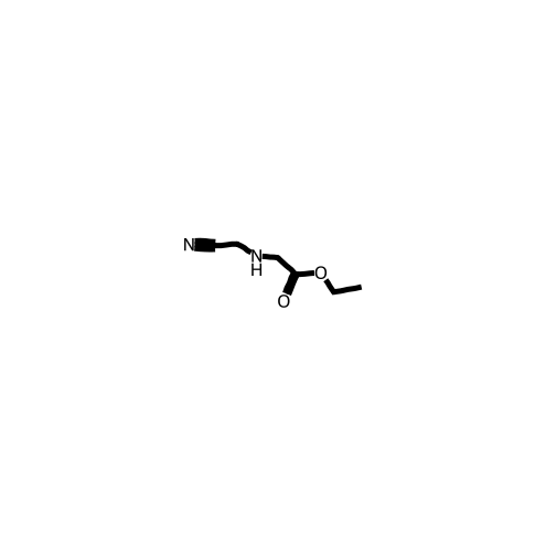 CCOC(=O)CNCC#N